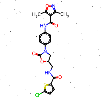 Cc1noc(C)c1C(=O)Nc1ccc(N2CC(CNC(=O)c3ccc(Cl)s3)OC2=O)cc1